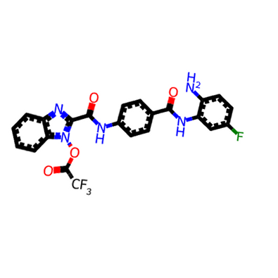 Nc1ccc(F)cc1NC(=O)c1ccc(NC(=O)c2nc3ccccc3n2OC(=O)C(F)(F)F)cc1